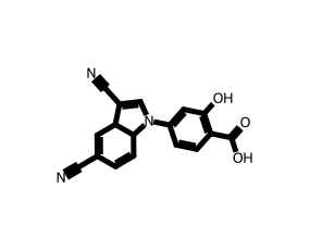 N#CC1=CC2C(C#N)=CN(c3ccc(C(=O)O)c(O)c3)C2C=C1